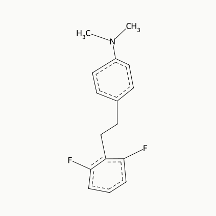 CN(C)c1ccc(CCc2c(F)cccc2F)cc1